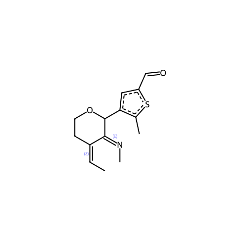 C/C=C1/CCOC(c2cc(C=O)sc2C)/C1=N/C